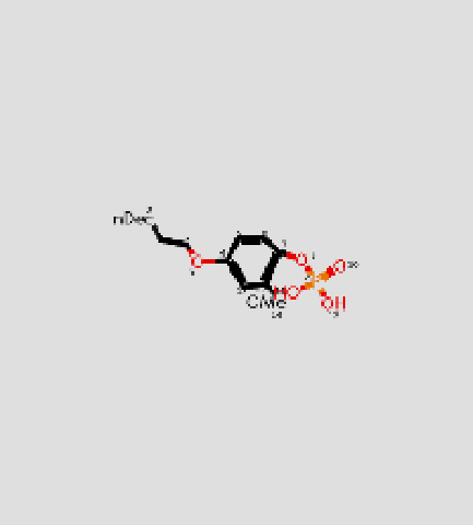 CCCCCCCCCCCCOc1ccc(OP(=O)(O)O)c(OC)c1